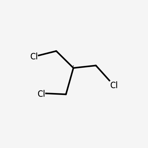 ClC[C](CCl)CCl